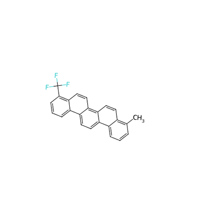 Cc1cccc2c1ccc1c2ccc2c3cccc(C(F)(F)F)c3ccc21